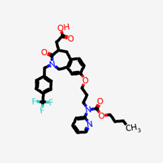 CCCCOC(=O)N(CCCOc1ccc2c(c1)CN(Cc1ccc(C(F)(F)F)cc1)C(=O)C(CC(=O)O)C2)c1ccccn1